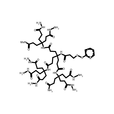 CNC(=O)CCC(CCC(=O)NN)(CCC(=O)NN)NC(=O)CCC(CCC(=O)NC(CCC(N)=O)(CCC(=O)NN)CCC(=O)NN)(CCC(=O)NC(CCC(=O)NN)(CCC(=O)NN)CCC(=O)NN)NC(=O)CCSSc1ccccn1